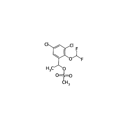 CC(OS(C)(=O)=O)c1cc(Cl)cc(Cl)c1OC(F)F